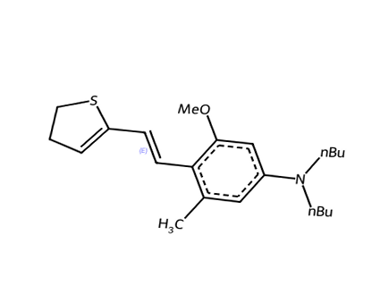 CCCCN(CCCC)c1cc(C)c(/C=C/C2=CCCS2)c(OC)c1